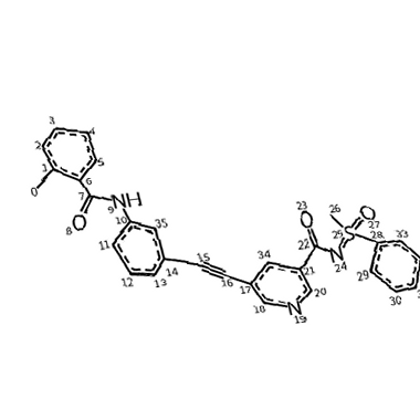 Cc1ccccc1C(=O)Nc1cccc(C#Cc2cncc(C(=O)N=S(C)(=O)c3ccccc3)c2)c1